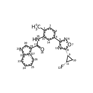 Cc1ccc(-c2noc([C@@H]3C[C@@H]3F)n2)cc1NC(=O)c1cnc2ccccn12